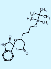 CC(C)(C)[Si](C)(C)OCCC[C@@H]1CC(=O)C[C@@]2(O1)C(=O)Nc1ccccc12